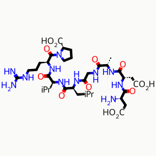 CC(C)C[C@H](NC(=O)CNC(=O)[C@H](C)NC(=O)[C@H](CC(=O)O)NC(=O)[C@@H](N)CC(=O)O)C(=O)N[C@H](C(=O)N[C@@H](CCCNC(=N)N)C(=O)N1CCC[C@H]1C(=O)O)C(C)C